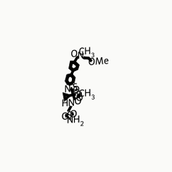 COCCN(C)C(=O)c1ccc(-c2ccc3nc(C(C(=O)NCCS(N)(=O)=O)(C4CC4)S(C)(=O)=O)sc3c2)cc1